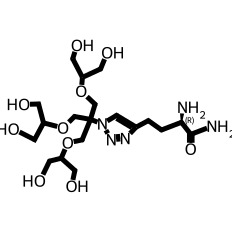 NC(=O)[C@H](N)CCc1cn(C(COC(CO)CO)(COC(CO)CO)COC(CO)CO)nn1